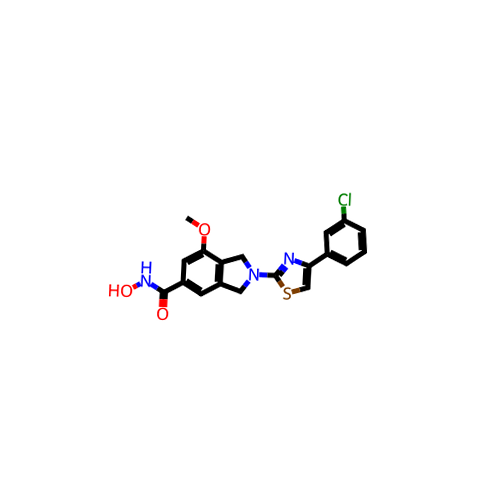 COc1cc(C(=O)NO)cc2c1CN(c1nc(-c3cccc(Cl)c3)cs1)C2